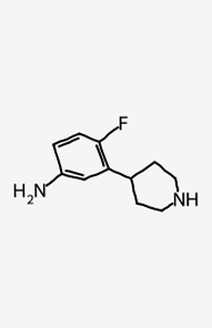 Nc1ccc(F)c(C2CCNCC2)c1